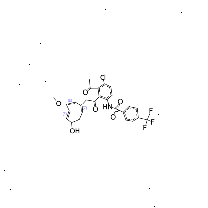 COC1=C/C(CC(=O)c2c(NS(=O)(=O)c3ccc(C(F)(F)F)cc3)ccc(Cl)c2C(C)=O)=C\CC(O)\C=C\1